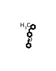 Cc1ccccc1Cc1ccc(OCc2ccccc2)cc1